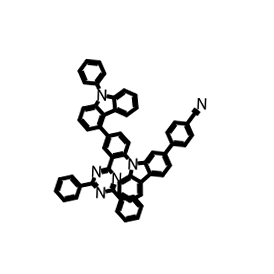 N#Cc1ccc(-c2ccc3c4ccccc4n(-c4ccc(-c5cccc6c5c5ccccc5n6-c5ccccc5)cc4-c4nc(-c5ccccc5)nc(-c5ccccc5)n4)c3c2)cc1